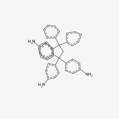 Nc1ccc(C(CC(c2ccccc2)(c2ccccc2)c2ccccc2)(c2ccc(N)cc2)c2ccc(N)cc2)cc1